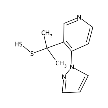 CC(C)(SS)c1cnccc1-n1cccn1